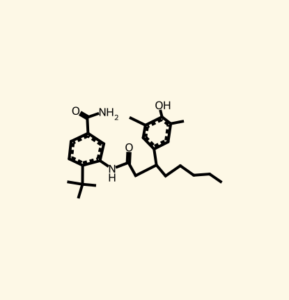 CCCCCC(CC(=O)Nc1cc(C(N)=O)ccc1C(C)(C)C)c1cc(C)c(O)c(C)c1